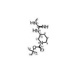 CNC(=N)N[C@H]1CCCN(C(=O)OC(C)(C)C)C1